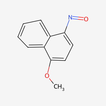 COc1ccc(N=O)c2ccccc12